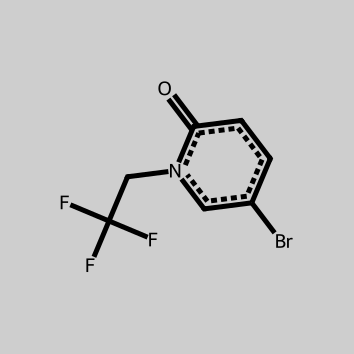 O=c1ccc(Br)cn1CC(F)(F)F